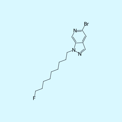 FCCCCCCCCCn1ncc2cc(Br)ncc21